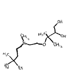 CCC(C)(O)CCN(C)CCOC(C)(C)C(O)CO